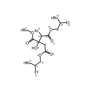 CCCCOC(=O)C(O)(CC(=O)OCC(CC)CCCC)C(C(C)=O)C(=O)OCC(CC)CCCC